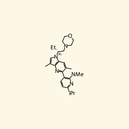 CC[C@H](CN1CCOCC1)n1cc(C)c2nc(-c3ccc(C(C)C)nc3NC)c(C)cc21